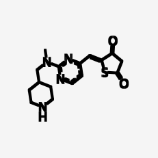 CN(CC1CCNCC1)c1nccc(/C=C2\SC(=O)CC2=O)n1